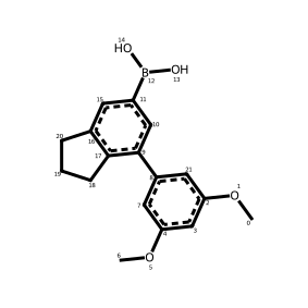 COc1cc(OC)cc(-c2cc(B(O)O)cc3c2CCC3)c1